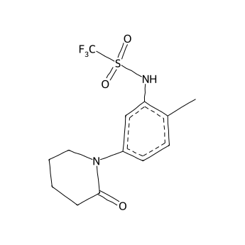 Cc1ccc(N2CCCCC2=O)cc1NS(=O)(=O)C(F)(F)F